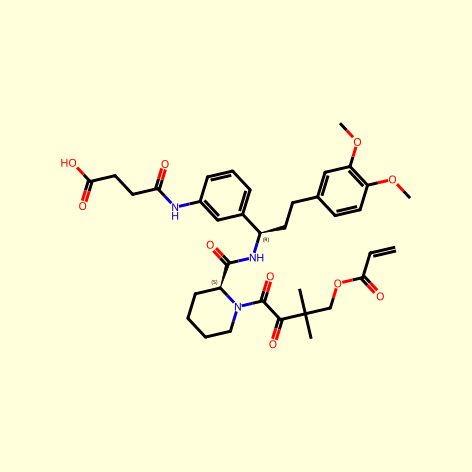 C=CC(=O)OCC(C)(C)C(=O)C(=O)N1CCCC[C@H]1C(=O)N[C@H](CCc1ccc(OC)c(OC)c1)c1cccc(NC(=O)CCC(=O)O)c1